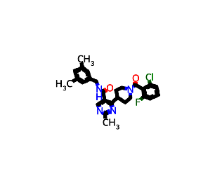 Cc1cc(C)cc(CNC(=O)c2cnc(C)nc2C2CCN(C(=O)c3c(F)cccc3Cl)CC2)c1